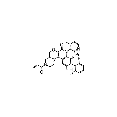 C=CC(=O)N1CC2COc3c(c4cc(F)c(-c5c(O)cccc5F)c(F)c4n(-c4c(C)ccnc4C(C)C)c3=O)N2CC1C